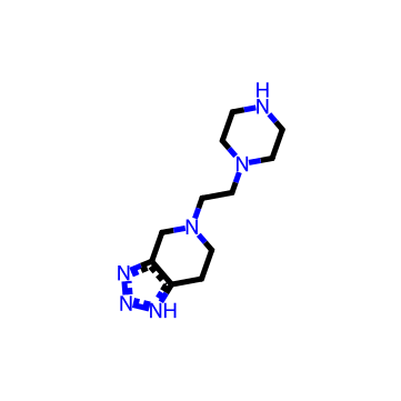 C1CN(CCN2CCc3[nH]nnc3C2)CCN1